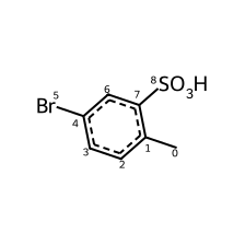 Cc1ccc(Br)cc1S(=O)(=O)O